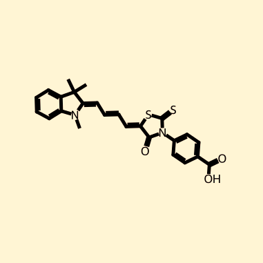 CN1C(=CC=CC=C2SC(=S)N(c3ccc(C(=O)O)cc3)C2=O)C(C)(C)c2ccccc21